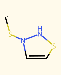 [CH2]SN1C=CSN1